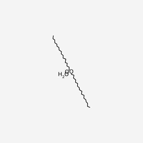 CCCCCCCCCCCCCCCCCCOC(=O)CCCCCCCCCCCCCCCCC.O